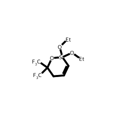 CCO[Si]1(OCC)C=CCC(C(F)(F)F)(C(F)(F)F)O1